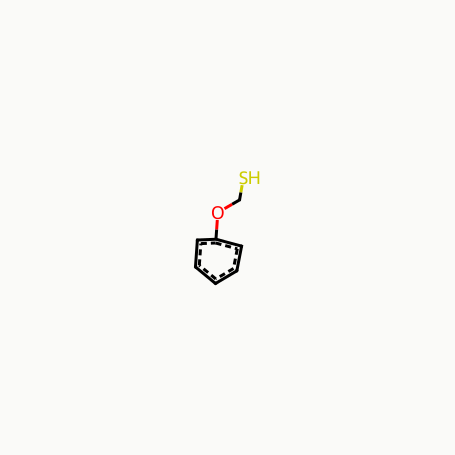 SCOc1ccccc1